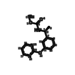 C[C@H](NC(=O)OC(C)(C)C)c1cccc(Oc2ncccn2)c1